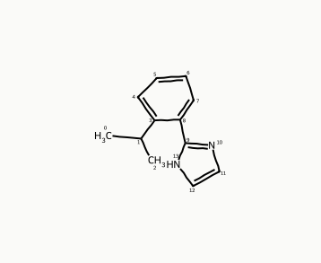 CC(C)c1ccccc1-c1ncc[nH]1